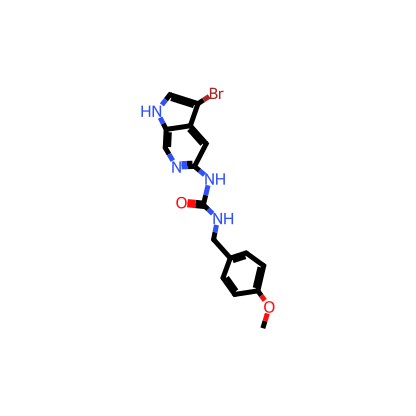 COc1ccc(CNC(=O)Nc2cc3c(Br)c[nH]c3cn2)cc1